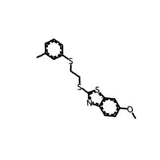 COc1ccc2nc(SCCSc3cccc(C)c3)sc2c1